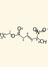 CCOC(=O)C/C=C/C(C)[N+](=O)[O-]